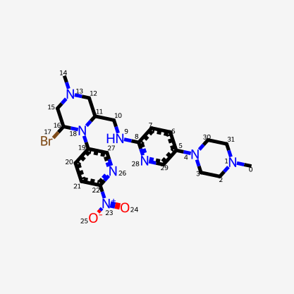 CN1CCN(c2ccc(NCC3CN(C)CC(Br)N3c3ccc([N+](=O)[O-])nc3)nc2)CC1